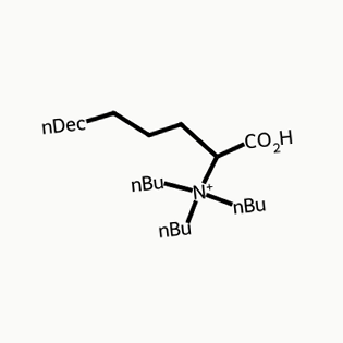 CCCCCCCCCCCCCC(C(=O)O)[N+](CCCC)(CCCC)CCCC